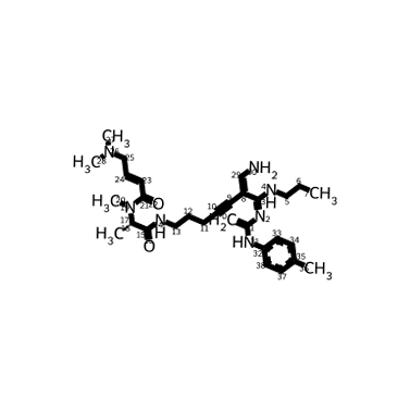 C=C(/N=C(NCCC)\C(C#CCCCNC(=O)[C@H](C)N(C)C(=O)/C=C/CN(C)C)=C/N)Nc1ccc(C)cc1